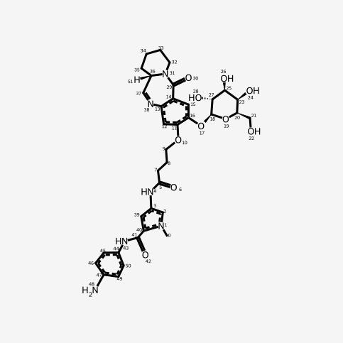 Cn1cc(NC(=O)CCCOc2cc3c(cc2O[C@@H]2O[C@H](CO)[C@H](O)[C@H](O)[C@H]2O)C(=O)N2CCCC[C@H]2C=N3)cc1C(=O)Nc1ccc(N)cc1